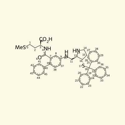 CSCC[C@H](NC(=O)c1cc(NC[C@H]2NCC[C@@H]2SC(c2ccccc2)(c2ccccc2)c2ccccc2)ccc1-c1ccccc1)C(=O)O